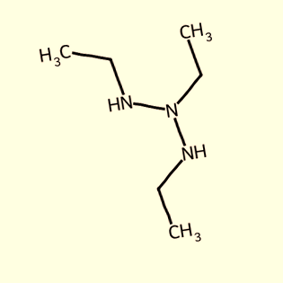 CCNN(CC)NCC